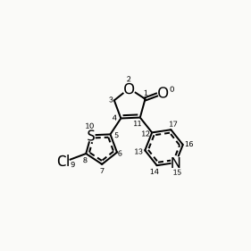 O=C1OCC(c2ccc(Cl)s2)=C1c1ccncc1